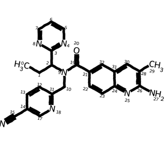 CCC(c1ncccn1)N(Cc1ccc(C#N)cn1)C(=O)c1ccc2nc(N)c(C)cc2c1